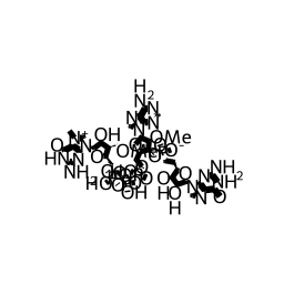 COC[C@H]1[C@@H](O)[C@H](n2c[n+](C)c3c(=O)[nH]c(N)nc32)O[C@@H]1COP(=O)(O)OP(=O)(O)OP(=O)(O)OCC1O[C@@H](n2cnc3c(N)ncnc32)[C@H](OC)[C@@H]1OP(=O)([O-])CC[C@H]1O[C@@H](n2cnc3c(=O)[nH]c(N)nc32)[C@H](O)[C@@H]1O